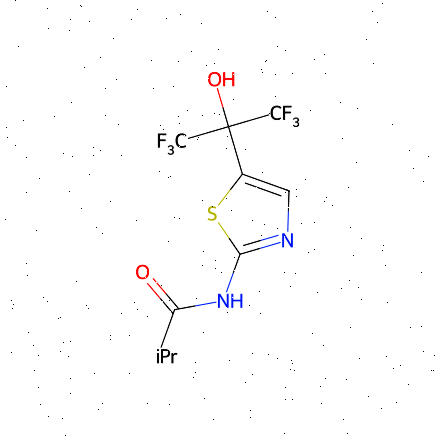 CC(C)C(=O)Nc1ncc(C(O)(C(F)(F)F)C(F)(F)F)s1